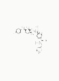 Cc1ccc(N(C)c2ccc3nc(Nc4ccc(C(=O)NCC5CCN(C)CC5)cn4)sc3n2)cc1